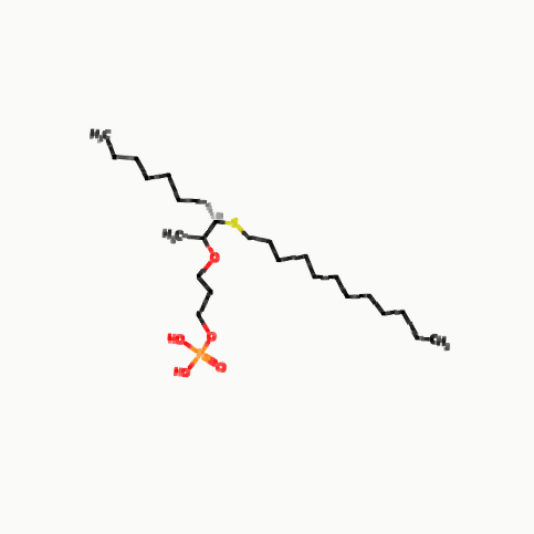 CCCCCCCCCCCCS[C@@H](CCCCCCC)C(C)OCCCOP(=O)(O)O